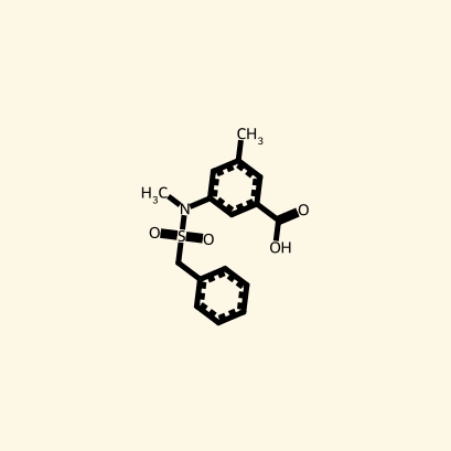 Cc1cc(C(=O)O)cc(N(C)S(=O)(=O)Cc2ccccc2)c1